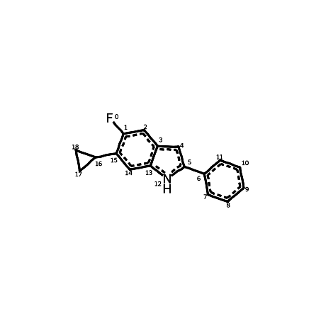 Fc1cc2cc(-c3ccccc3)[nH]c2cc1C1CC1